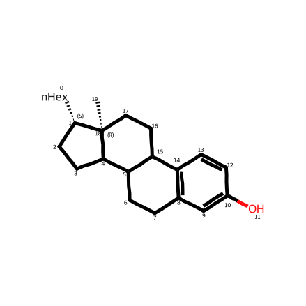 CCCCCC[C@H]1CCC2C3CCc4cc(O)ccc4C3CC[C@@]21C